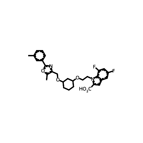 Cc1cccc(-c2nc(COC3CCCC(OCCn4c(C(=O)O)cc5cc(F)cc(F)c54)C3)c(C)o2)c1